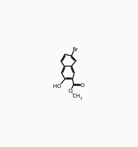 COC(=O)c1cc2cc(Br)ccc2cc1O